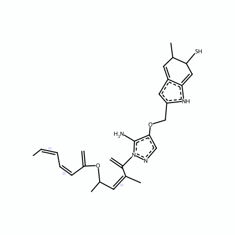 C=C(/C=C\C=C/C)OC(C)/C=C(/C)C(=C)n1ncc(OCc2cc3c([nH]2)=CC(S)C(C)C=3)c1N